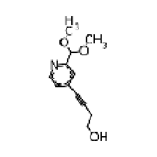 COC(OC)c1cc(C#CCCO)ccn1